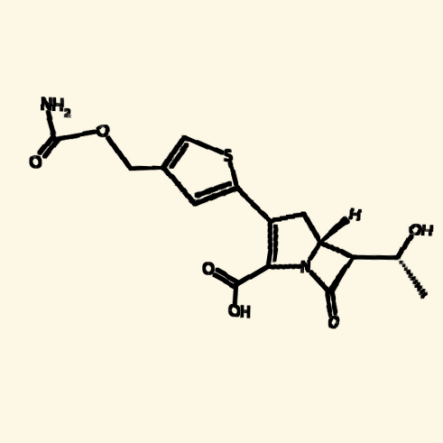 C[C@@H](O)[C@H]1C(=O)N2C(C(=O)O)=C(c3cc(COC(N)=O)cs3)C[C@H]12